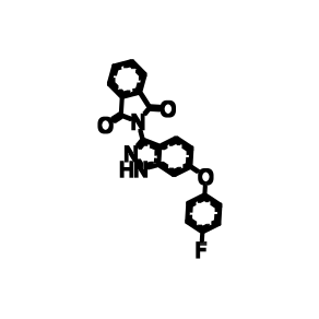 O=C1c2ccccc2C(=O)N1c1n[nH]c2cc(Oc3ccc(F)cc3)ccc12